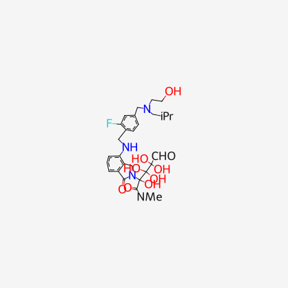 CNC(=O)C(O)(N1Cc2c(NCc3ccc(CN(CCO)CC(C)C)cc3F)cccc2C1=O)C(O)(O)C(O)(O)C=O